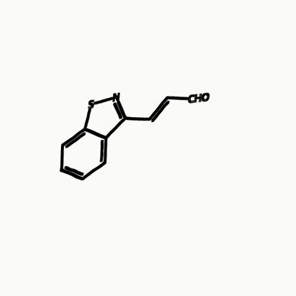 O=CC=Cc1nsc2ccccc12